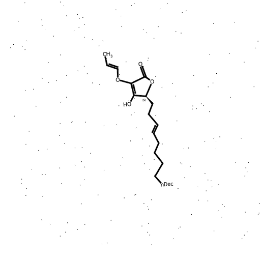 CC=COC1=C(O)[C@H](CCC=CCCCCCCCCCCCCCC)OC1=O